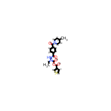 CCN(NC(=O)c1ccc(C(=O)N2CCC(C)CC2)cc1)C(=O)OC(=O)c1ccsc1